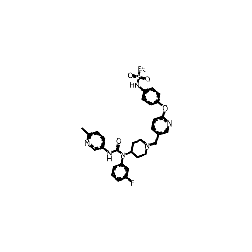 CCS(=O)(=O)Nc1ccc(Oc2ccc(CN3CCC(N(C(=O)Nc4ccc(C)nc4)c4cccc(F)c4)CC3)cn2)cc1